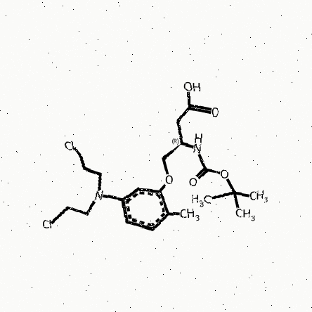 Cc1ccc(N(CCCl)CCCl)cc1OC[C@@H](CC(=O)O)NC(=O)OC(C)(C)C